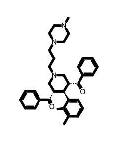 Cc1cccc([C@@H]2[C@@H](C(=O)c3ccccc3)CN(CCCN3CCN(C)CC3)C[C@H]2C(=O)c2ccccc2)c1C